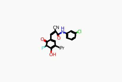 CC(C)C1=C(O)C(F)C(=O)C(C=C(C#N)C(=O)Nc2cccc(Cl)c2)=C1